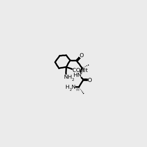 CCOC(=O)C1(N)CCCCC1C(=O)[C@H](C)NC(=O)[C@H](C)N